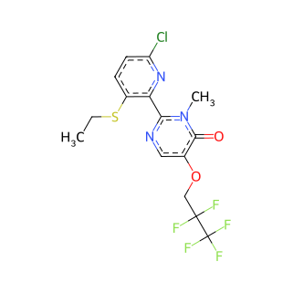 CCSc1ccc(Cl)nc1-c1ncc(OCC(F)(F)C(F)(F)F)c(=O)n1C